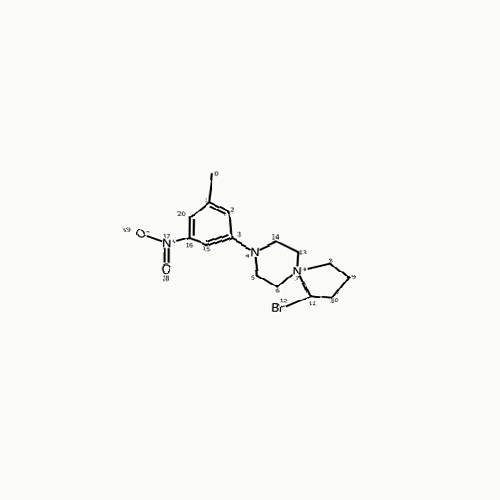 Cc1cc(N2CC[N+]3(CCCC3Br)CC2)cc([N+](=O)[O-])c1